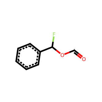 O=[C]OC(F)c1ccccc1